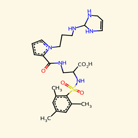 Cc1cc(C)c(S(=O)(=O)NC(CNC(=O)c2cccn2CCCNC2NC=CCN2)C(=O)O)c(C)c1